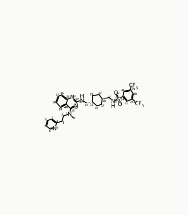 CN(CCc1ccccn1)c1nc(NC[C@H]2CC[C@H](CNS(=O)(=O)c3cc(C(F)(F)F)cc(C(F)(F)F)c3)CC2)nc2ccccc12